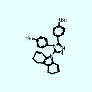 CC(C)(C)c1ccc(-c2nnc(-n3c4c(c5c3C=CCC5)CCC=C4)n2-c2ccc(C(C)(C)C)cc2)cc1